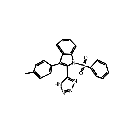 Cc1ccc(-c2c(-c3nnn[nH]3)n(S(=O)(=O)c3ccccc3)c3ccccc23)cc1